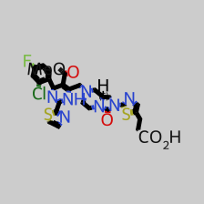 COC(=O)C1=C(CN2CCN3C(=O)N(c4ncc(CCC(=O)O)s4)C[C@@H]3C2)NC(c2nccs2)=NC1c1ccc(F)cc1Cl